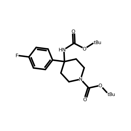 CC(C)(C)OC(=O)NC1(c2ccc(F)cc2)CCN(C(=O)OC(C)(C)C)CC1